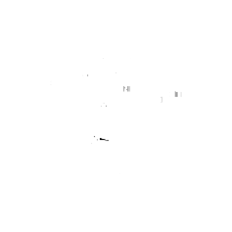 Cl.Cl.N[C@@H](CCNC1(C(=O)OC=O)CCCC1)c1ccccc1